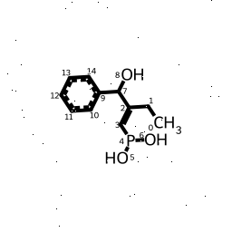 CCC(=CP(O)O)C(O)c1ccccc1